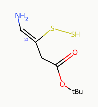 CC(C)(C)OC(=O)C/C(=C/N)SS